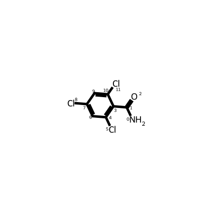 NC(=O)c1c(Cl)cc(Cl)cc1Cl